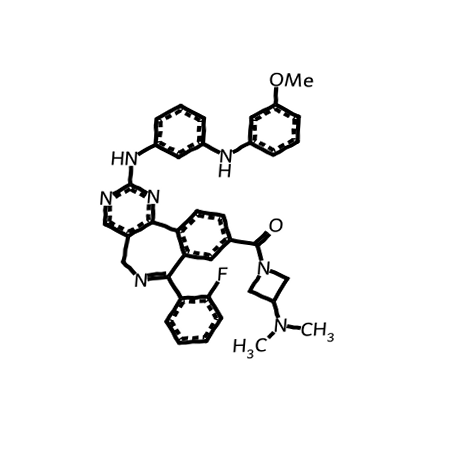 COc1cccc(Nc2cccc(Nc3ncc4c(n3)-c3ccc(C(=O)N5CC(N(C)C)C5)cc3C(c3ccccc3F)=NC4)c2)c1